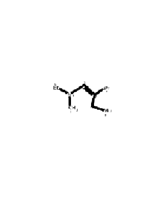 CCC(C)C/C(=C\N(C)CC)C(C)C